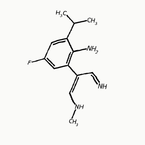 CN/C=C(\C=N)c1cc(F)cc(C(C)C)c1N